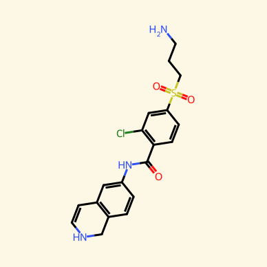 NCCCS(=O)(=O)c1ccc(C(=O)Nc2ccc3c(c2)C=CNC3)c(Cl)c1